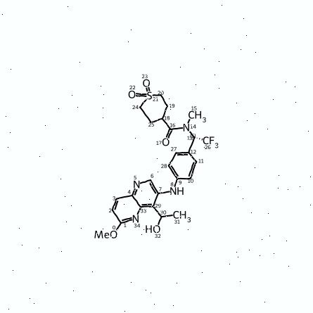 COc1ccc2ncc(Nc3ccc([C@H](N(C)C(=O)C4CCS(=O)(=O)CC4)C(F)(F)F)cc3)c(C(C)O)c2n1